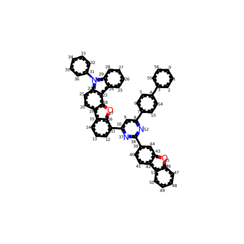 c1ccc(-c2ccc(-c3cc(-c4cccc5c4oc4c5ccc5c4c4ccccc4n5-c4ccccc4)nc(-c4ccc5c(c4)oc4ccccc45)n3)cc2)cc1